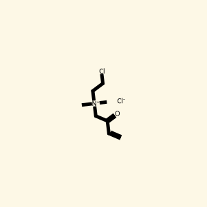 C=CC(=O)C[N+](C)(C)CCCl.[Cl-]